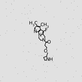 Cc1cnc2c(c1C)c(F)c1n2CCN(C(=O)CCOCC2CCN2)C1